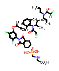 C#CC(C)Oc1cc(N2C(=O)C3=C(CCCC3)C2=O)c(F)cc1Cl.C=CCN(CC=C)C(=O)C(Cl)Cl.CCc1cccc(C)c1N(C(=O)CCl)C(C)COC.O=C(O)CNCP(=O)(O)O